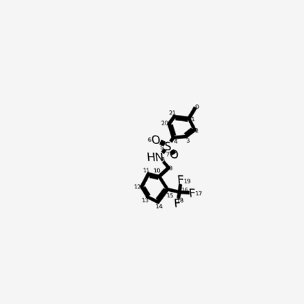 Cc1ccc(S(=O)(=O)NCc2ccccc2C(F)(F)F)cc1